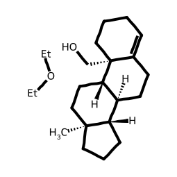 CCOCC.C[C@@]12CCC[C@H]1[C@@H]1CCC3=CCCC[C@]3(CO)[C@H]1CC2